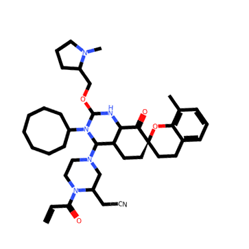 C=CC(=O)N1CCN(C2C3CC[C@@]4(CCc5cccc(C)c5O4)C(=O)C3NC(OCC3CCCN3C)N2C2CCCCCCC2)CC1CC#N